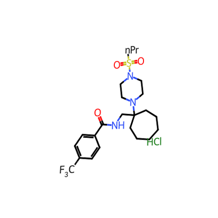 CCCS(=O)(=O)N1CCN(C2(CNC(=O)c3ccc(C(F)(F)F)cc3)CCCCCC2)CC1.Cl